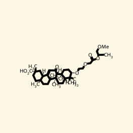 COCC(C)OC(=O)COCCO[C@H]1CC[C@]2(C)[C@H]3C(=O)C=C4[C@@H]5C[C@@](C)(C(=O)O)CC[C@]5(C)CC[C@@]4(C)[C@]3(C)CC[C@H]2C1(C)C